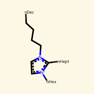 CCCCCCCCCCCCCCn1cc[n+](CCCCCC)c1CCCCCCC